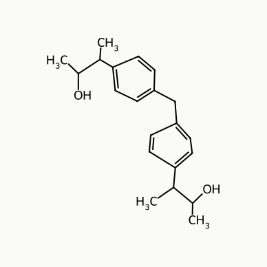 CC(O)C(C)c1ccc(Cc2ccc(C(C)C(C)O)cc2)cc1